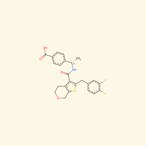 C[C@H](NC(=O)c1c(Cc2ccc(F)c(F)c2)sc2c1CCOC2)c1ccc(C(=O)O)cc1